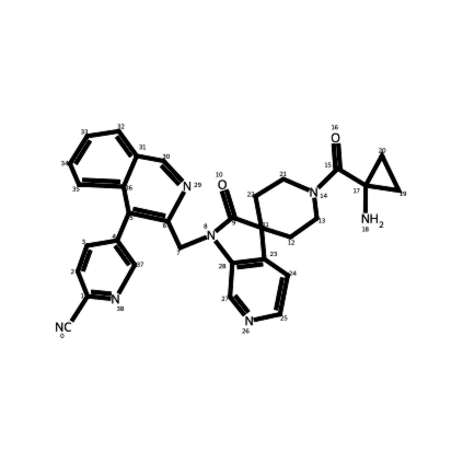 N#Cc1ccc(-c2c(CN3C(=O)C4(CCN(C(=O)C5(N)CC5)CC4)c4ccncc43)ncc3ccccc23)cn1